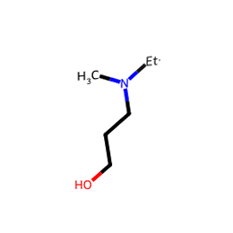 C[CH]N(C)CCCO